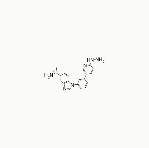 C[C@H](N)c1ccc2c(c1)ncn2-c1cccc(-c2ccc(NN)nc2)c1